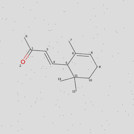 CC(=O)C=CC1C(C)=CCCC1(C)C